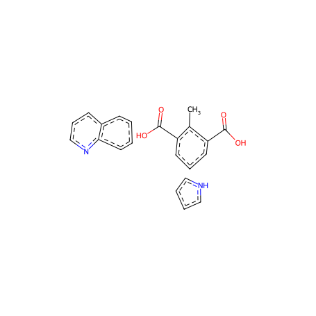 Cc1c(C(=O)O)cccc1C(=O)O.c1cc[nH]c1.c1ccc2ncccc2c1